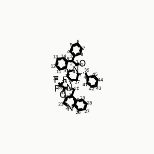 O=C(C(c1ccccc1)c1ccccc1)N1CC[C@H](N(Cc2ccnc3ccccc23)C(=O)C(F)(F)F)C[C@H]1Cc1ccccc1